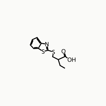 CCC(CSc1nc2ccccc2s1)C(=O)O